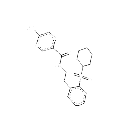 Cc1cnc(C(=O)NCCc2ccccc2S(=O)(=O)C2CCCCC2)cn1